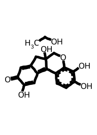 CCO.O=C1C=C2CC3(O)COc4c(ccc(O)c4O)C3=C2C=C1O